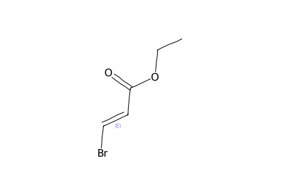 CCOC(=O)/C=C/Br